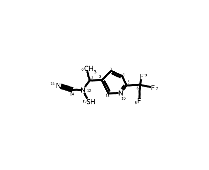 CC(c1ccc(C(F)(F)F)nc1)N(S)C#N